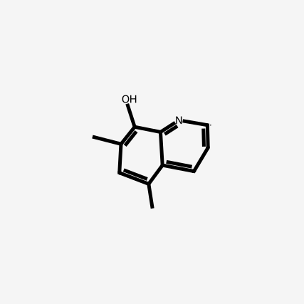 Cc1cc(C)c2cc[c]nc2c1O